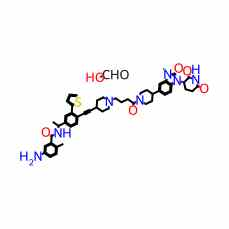 Cc1ccc(N)cc1C(=O)NC(C)c1ccc(C#CC2CCN(CCCC(=O)N3CCC(c4ccc5c(c4)n(C)c(=O)n5C4CCC(=O)NC4=O)CC3)CC2)c(-c2cccs2)c1.O=CO